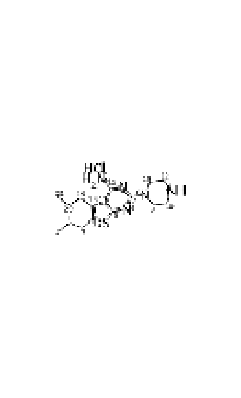 CCCc1sc2nc(N3CCNCC3)nc(N)c2c1CCC.Cl